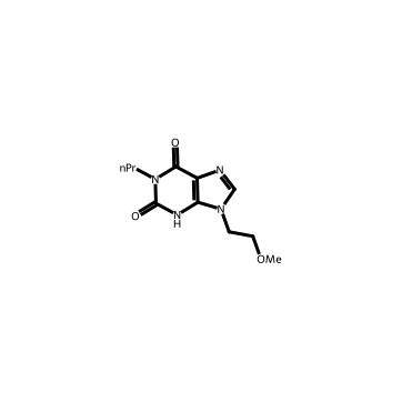 CCCn1c(=O)[nH]c2c(ncn2CCOC)c1=O